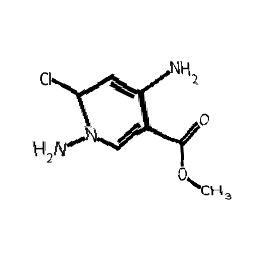 COC(=O)C1=CN(N)C(Cl)C=C1N